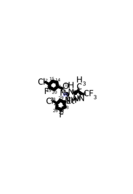 CCn1nc(C(F)(F)F)c(C)c1N/C(=N\C(=O)c1ccc(Cl)c(F)c1)Nc1cc(F)cc(Cl)c1